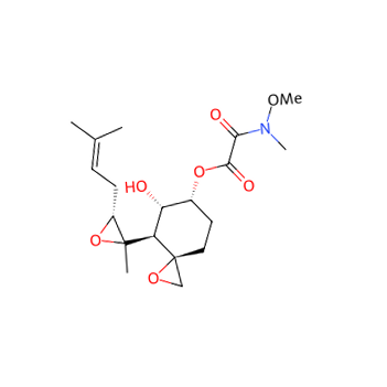 CON(C)C(=O)C(=O)O[C@@H]1CC[C@]2(CO2)[C@@H](C2(C)O[C@@H]2CC=C(C)C)[C@@H]1O